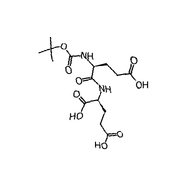 CC(C)(C)OC(=O)N[C@@H](CCC(=O)O)C(=O)N[C@@H](CCC(=O)O)C(=O)O